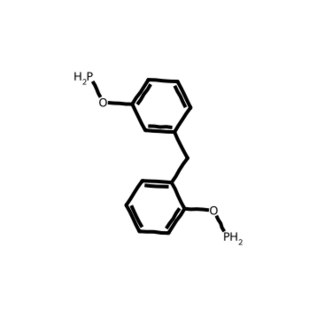 POc1cccc(Cc2ccccc2OP)c1